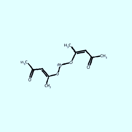 CC(=O)C=C(C)[O][Pb][O]C(C)=CC(C)=O